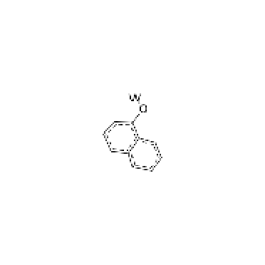 [W][O]c1cccc2ccccc12